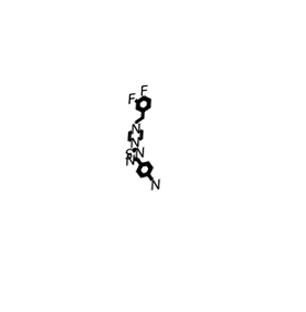 N#Cc1ccc(-c2nsc(N3CCN(CCc4ccc(F)c(F)c4)CC3)n2)cc1